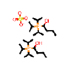 CCCC(O)[P+](C(C)C)(C(C)C)C(C)C.CCCC(O)[P+](C(C)C)(C(C)C)C(C)C.O=S(=O)([O-])[O-]